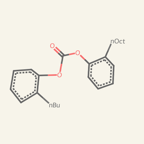 CCCCCCCCc1ccccc1OC(=O)Oc1ccccc1CCCC